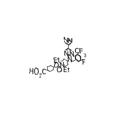 CC[C@@H]1CC(N(Cc2cc(F)cc(C(F)(F)F)c2)c2ncc(-c3cnn(C)c3)cn2)C[C@H](CC)N1C(=O)OC1CCC(C(=O)O)CC1